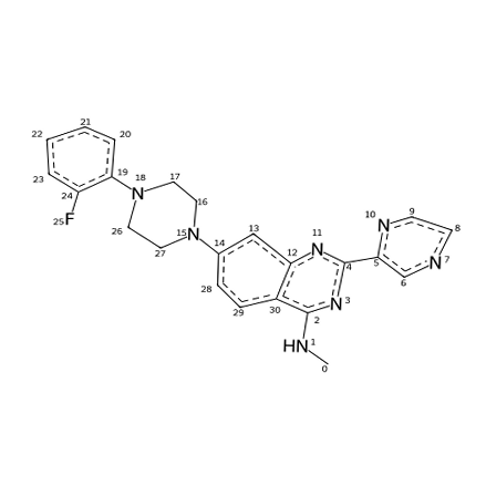 CNc1nc(-c2cnccn2)nc2cc(N3CCN(c4ccccc4F)CC3)ccc12